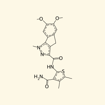 COc1cc2c(cc1OC)-c1c(c(C(=O)Nc3sc(C)c(C)c3C(N)=O)nn1C)C2